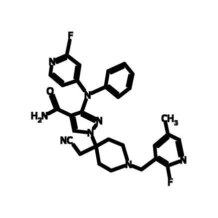 Cc1cnc(F)c(CN2CCC(CC#N)(n3cc(C(N)=O)c(N(c4ccccc4)c4ccnc(F)c4)n3)CC2)c1